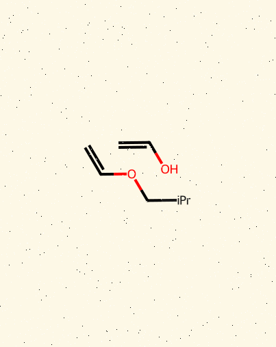 C=CO.C=COCC(C)C